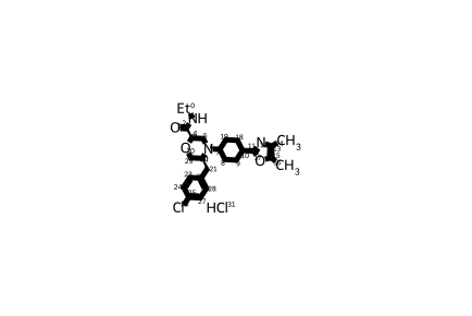 CCNC(=O)[C@H]1CN(C2CCC(c3nc(C)c(C)o3)CC2)[C@@H](Cc2ccc(Cl)cc2)CO1.Cl